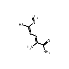 C=N/C(S)=N\N=C(/N)C(N)=O